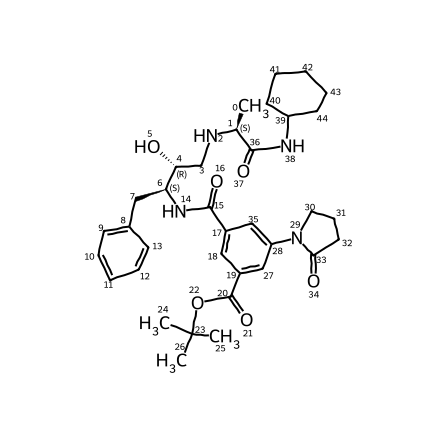 C[C@H](NC[C@@H](O)[C@H](Cc1ccccc1)NC(=O)c1cc(C(=O)OC(C)(C)C)cc(N2CCCC2=O)c1)C(=O)NC1CCCCC1